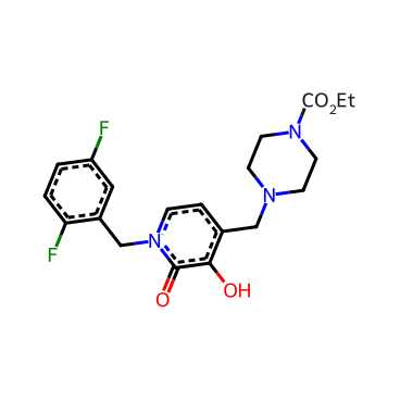 CCOC(=O)N1CCN(Cc2ccn(Cc3cc(F)ccc3F)c(=O)c2O)CC1